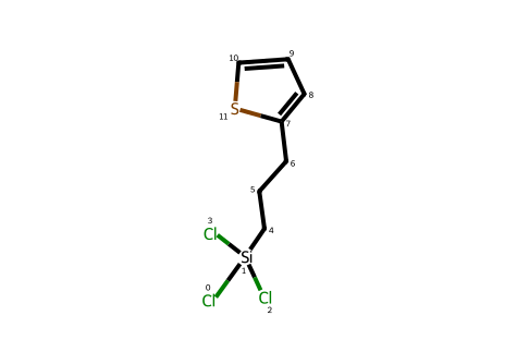 Cl[Si](Cl)(Cl)CCCc1cccs1